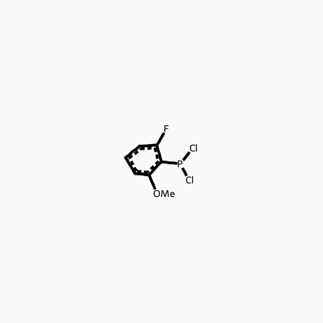 COc1cccc(F)c1P(Cl)Cl